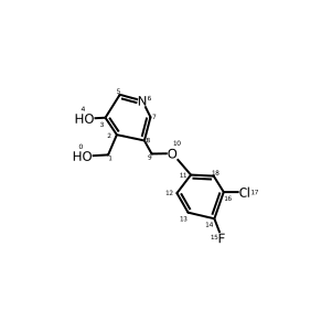 OCc1c(O)cncc1COc1ccc(F)c(Cl)c1